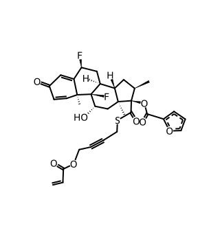 C=CC(=O)OCC#CCSC(=O)[C@@]1(OC(=O)c2ccco2)[C@H](C)C[C@H]2[C@@H]3C[C@H](F)C4=CC(=O)C=C[C@]4(C)[C@@]3(F)[C@@H](O)C[C@@]21C